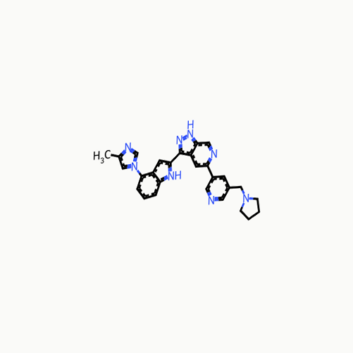 Cc1cn(-c2cccc3[nH]c(-c4n[nH]c5cnc(-c6cncc(CN7CCCC7)c6)cc45)cc23)cn1